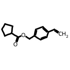 C=Cc1ccc(COC(=O)C2CCCC2)cc1